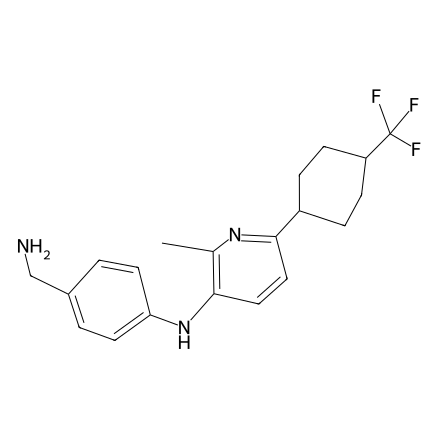 Cc1nc(C2CCC(C(F)(F)F)CC2)ccc1Nc1ccc(CN)cc1